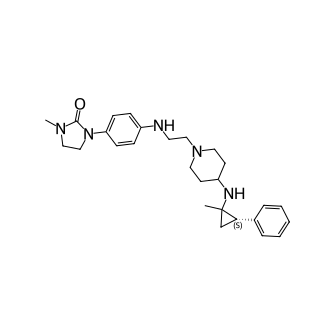 CN1CCN(c2ccc(NCCN3CCC(NC4(C)C[C@H]4c4ccccc4)CC3)cc2)C1=O